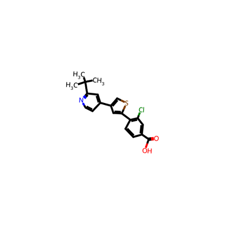 CC(C)(C)c1cc(-c2csc(-c3ccc(C(=O)O)cc3Cl)c2)ccn1